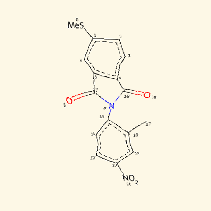 CSc1ccc2c(c1)C(=O)N(c1ccc([N+](=O)[O-])cc1C)C2=O